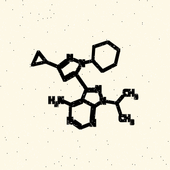 CC(C)n1nc(-c2cc(C3CC3)nn2C2CCCCC2)c2c(N)ncnc21